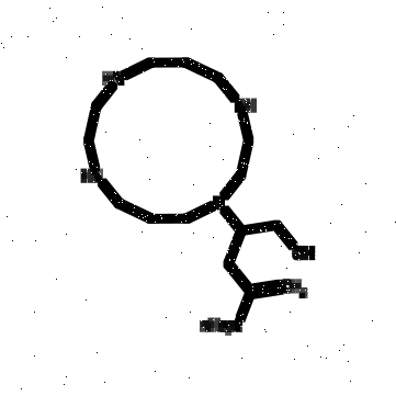 C=C(CCCCCCC)CC(CO)N1CCCNCCNCCCNCC1